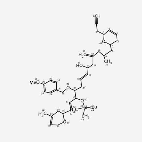 C#CCC1C=CCC(CC(C)CC(=C)CC(O)/C=C/CC(OCc2ccc(OC)cc2)C(/C=C/C2CC(C)=CCO2)O[Si](C)(C)C(C)(C)C)O1